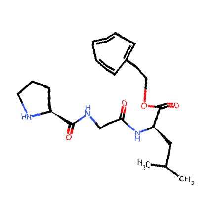 CC(C)C[C@@H](NC(=O)CNC(=O)[C@@H]1CCCN1)C(=O)OCc1ccccc1